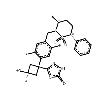 C[C@H]1CC[C@H](c2ccccc2)S(=O)(=O)N1Cc1cc(F)c([C@]2(c3n[nH]c(=O)o3)C[C@](C)(O)C2)cc1F